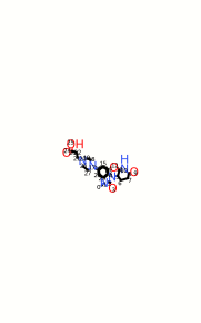 Cn1c(=O)n(C2CCC(=O)NC2=O)c2ccc(N3CCN(CCC(=O)O)CC3)cc21